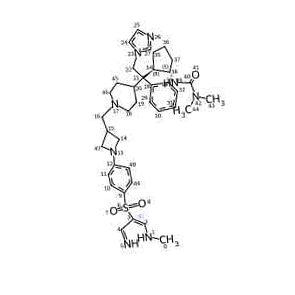 CN/C=C(\C=N)S(=O)(=O)c1ccc(N2CC(CN3CCC(C(Cn4ccnc4)(c4ccccc4)[C@H]4CCC[C@@H]4NC(=O)N(C)C)CC3)C2)cc1